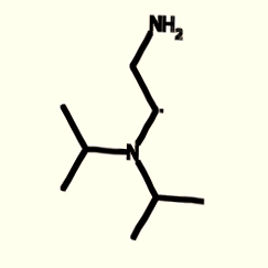 CC(C)N([CH]CN)C(C)C